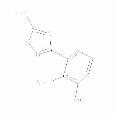 COc1c(-c2n[nH]c(C)n2)cccc1C(C)(C)C